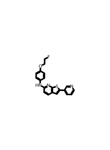 FCCOc1ccc(Nc2ccc3cc(-c4cccnc4)sc3n2)cc1